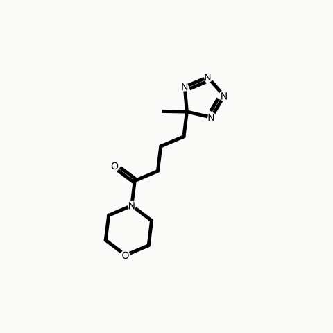 CC1(CCCC(=O)N2CCOCC2)N=NN=N1